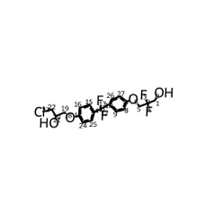 OCC(F)(F)COc1ccc(C(F)(F)c2ccc(OCC(O)CCl)cc2)cc1